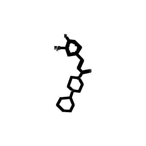 O=C(C=Cc1ccc(F)c(C(F)(F)F)c1)N1CCN(C2CCCCC2)CC1